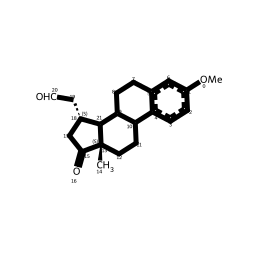 COc1ccc2c(c1)CCC1C2CC[C@]2(C)C(=O)C[C@H](CC=O)C12